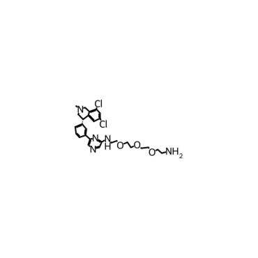 CN1Cc2c(Cl)cc(Cl)cc2[C@H](c2cccc(-c3cncc(NCCOCCOCCOCCN)n3)c2)C1